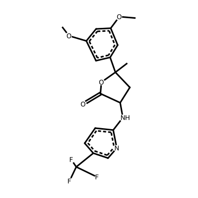 COc1cc(OC)cc(C2(C)CC(Nc3ccc(C(F)(F)F)cn3)C(=O)O2)c1